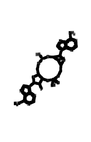 Nc1ncnc2c1ncn2C1OC2COP(S)OC3C(O)C(COP(=O)(S)OC2C1F)OC3n1cnc2c(N)ncnc21